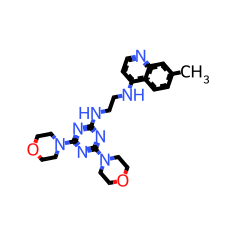 Cc1ccc2c(NCCNc3nc(N4CCOCC4)nc(N4CCOCC4)n3)ccnc2c1